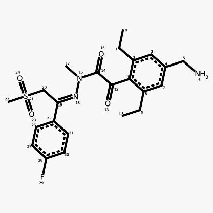 CCc1cc(CN)cc(CC)c1C(=O)C(=O)N(C)N=C(CS(C)(=O)=O)c1ccc(F)cc1